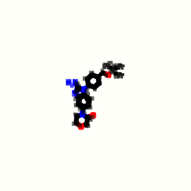 CC(C)[Si](OC[C@H]1CC[C@@H](n2c(N)nc3cc(N4CCOCC4=O)ccc32)CC1)(C(C)C)C(C)C